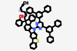 C#C/C=C\C=C/CC1(c2ccccc2O)c2ccccc2-c2c1ccc1c3cc4c(cc3n(-c3nc(-c5cc(-c6ccccc6)cc(-c6ccccc6)c5)cc(-c5cc(-c6ccccc6)cc(-c6ccccc6)c5)n3)c21)sc1ccccc14